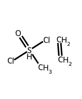 C=C.C[SH](=O)(Cl)Cl